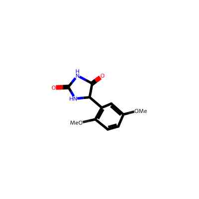 COc1ccc(OC)c(C2NC(=O)NC2=O)c1